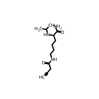 C#CCC(=O)NCCCCC(NC(C)C)C(N)=O